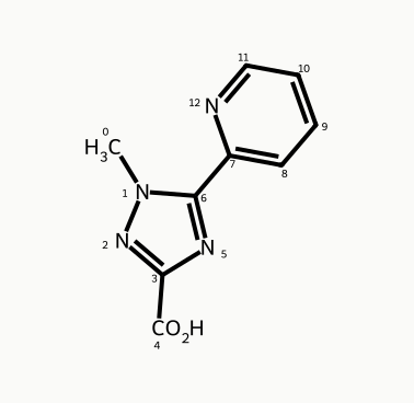 Cn1nc(C(=O)O)nc1-c1ccccn1